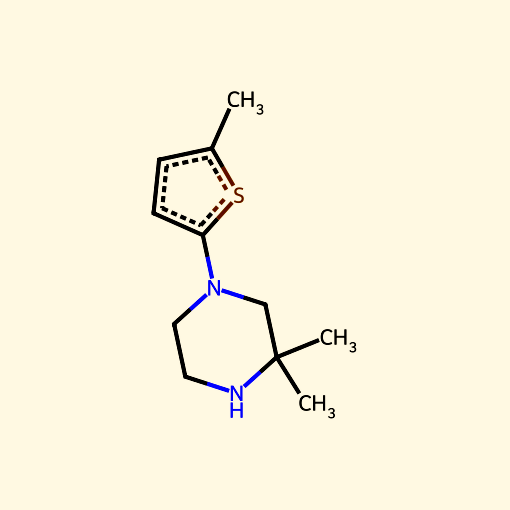 Cc1ccc(N2CCNC(C)(C)C2)s1